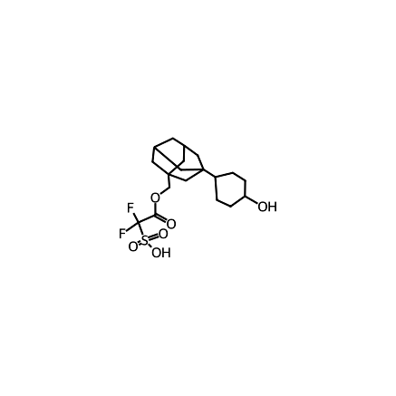 O=C(OCC12CC3CC(C1)CC(C1CCC(O)CC1)(C3)C2)C(F)(F)S(=O)(=O)O